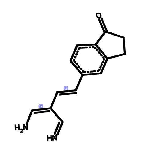 N=CC(=C\N)/C=C/c1ccc2c(c1)CCC2=O